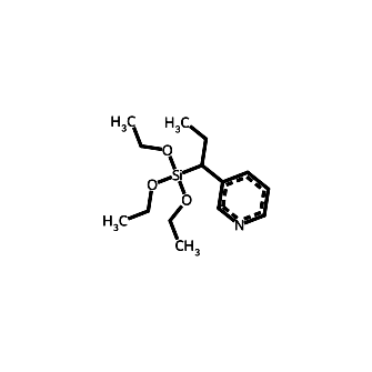 CCO[Si](OCC)(OCC)C(CC)c1cccnc1